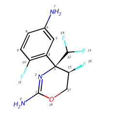 NC1=N[C@@](c2cc(N)ccc2F)(C(F)F)[C@@H](F)CO1